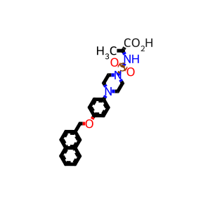 CC(NS(=O)(=O)N1CCN(c2ccc(OCc3ccc4ccccc4c3)cc2)CC1)C(=O)O